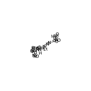 CCc1cc(Nc2ncc(Br)c(Nc3ccc4c(=O)n(C)ncc4c3P(C)(C)=O)n2)c(OC)cc1N1CCC(N2CCN(CCc3ccc4c(c3)oc(=O)n4C3CCC(=O)NC3=O)CC2)CC1